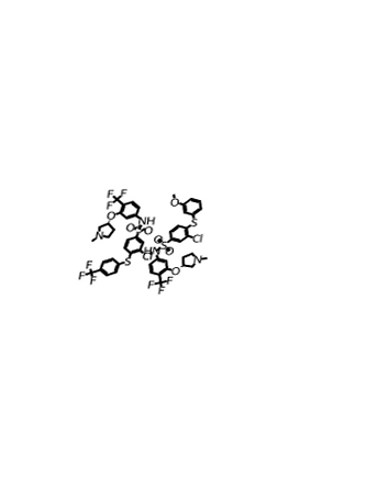 CN1CC[C@@H](Oc2cc(NS(=O)(=O)c3ccc(Sc4ccc(C(F)(F)F)cc4)c(Cl)c3)ccc2C(F)(F)F)C1.COc1cccc(Sc2ccc(S(=O)(=O)Nc3ccc(C(F)(F)F)c(O[C@@H]4CCN(C)C4)c3)cc2Cl)c1